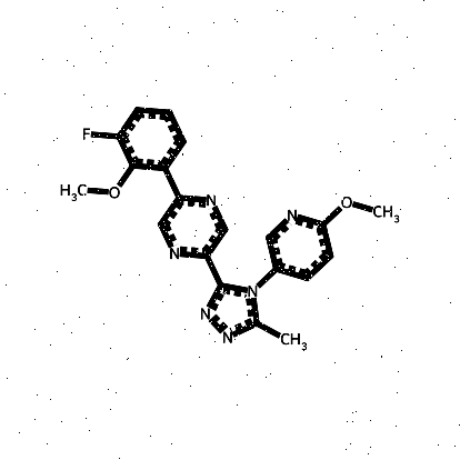 COc1ccc(-n2c(C)nnc2-c2cnc(-c3cccc(F)c3OC)cn2)cn1